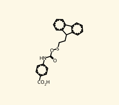 O=C(Nc1ccc(C(=O)O)cc1)OSCCC1c2ccccc2-c2ccccc21